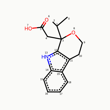 CC(C)C1(CC(=O)O)OCCc2c1[nH]c1ccccc21